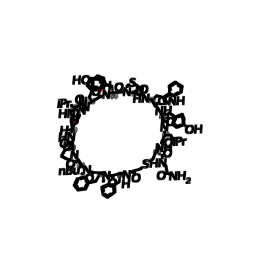 CCCC[C@H]1C(=O)N2CCC[C@@H]2C(=O)N[C@H]2CC(=O)NN(C(=O)[C@H](C(C)C)NC2=O)[C@@H](Cc2ccccc2)C(=O)N[C@@H](Cc2ccc(O)cc2)C(=O)N2CSC[C@@H]2C(=O)N[C@@H](Cc2c[nH]c3ccccc23)C(=O)N[C@@H](Cc2ccc(O)cc2)C(=O)N[C@@H](CC(C)C)C(=O)N[C@H](C(=O)NCC(N)=O)CSCC(=O)N[C@@H](Cc2ccccc2)C(=O)N(C)[C@@H](Cc2ccccc2)C(=O)N1C